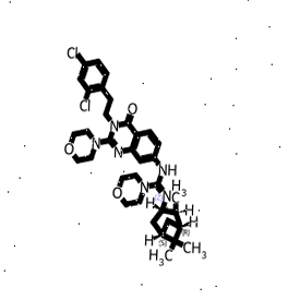 C[C@@H]1[C@@H](/N=C(/Nc2ccc3c(=O)n(CCc4ccc(Cl)cc4Cl)c(N4CCOCC4)nc3c2)N2CCOCC2)C[C@@H]2C[C@H]1C2(C)C